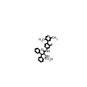 Cc1cc(-c2ccc(NC(=O)[C@@H](NC(=O)O)C(c3ccccc3)c3ccccc3)cc2F)c(C)cn1